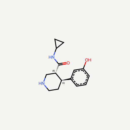 O=C(NC1CC1)[C@H]1CNCC[C@@H]1c1cccc(O)c1